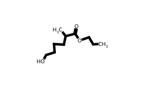 CCCOC(=O)C(C)CCCCO